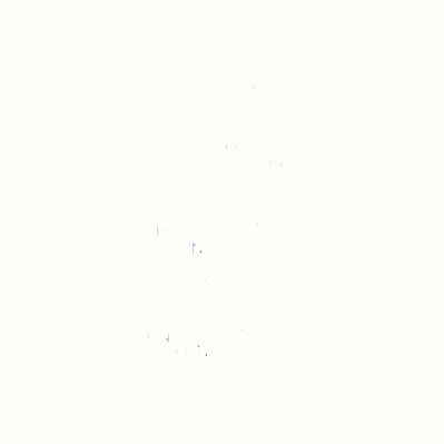 CN(Cc1ccc(S(=O)(=O)c2ccccc2)cc1)c1ccc([N+](=O)[O-])c2c([N+](=O)[O-])cccc12